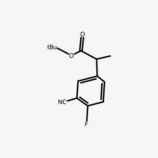 CC(C(=O)OC(C)(C)C)c1ccc(F)c(C#N)c1